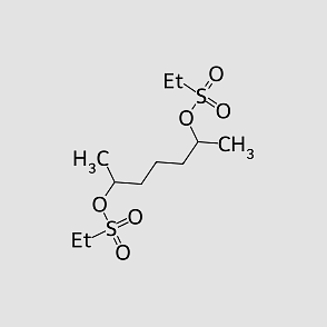 CCS(=O)(=O)OC(C)CCCC(C)OS(=O)(=O)CC